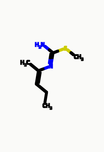 CC/C=C(C)\N=C(/N)SC